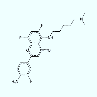 CN(C)CCCCCNc1c(F)cc(F)c2oc(-c3ccc(N)c(F)c3)cc(=O)c12